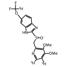 [2H]c1nc(C[S+]([O-])c2nc3ccc(OC([2H])(F)F)cc3[nH]2)c(OC)c(OC)c1[2H]